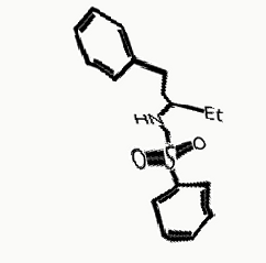 CC[C](Cc1ccccc1)NS(=O)(=O)c1ccccc1